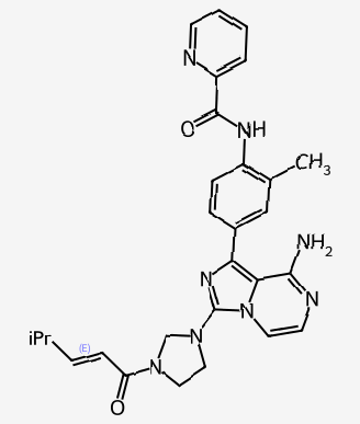 Cc1cc(-c2nc(N3CCN(C(=O)/C=C/C(C)C)C3)n3ccnc(N)c23)ccc1NC(=O)c1ccccn1